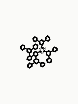 c1ccc(-c2cc(-c3ccccc3)cc(-c3nc(-c4cc(-c5ccccc5)cc(-c5ccccc5)c4)nc(-c4ccc(-c5ccccc5-c5cc(-c6ccccc6)cc(-c6ccccc6)c5)c(-c5cc(-c6ccccc6)cc(-c6ccccc6)c5)c4)n3)c2)cc1